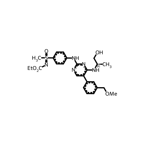 CCOC(=O)N=S(C)(=O)c1ccc(Nc2ncc(-c3cccc(COC)c3)c(N[C@H](C)CO)n2)cc1